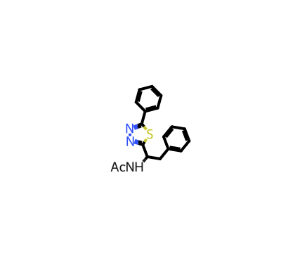 CC(=O)NC(Cc1ccccc1)c1nnc(-c2ccccc2)s1